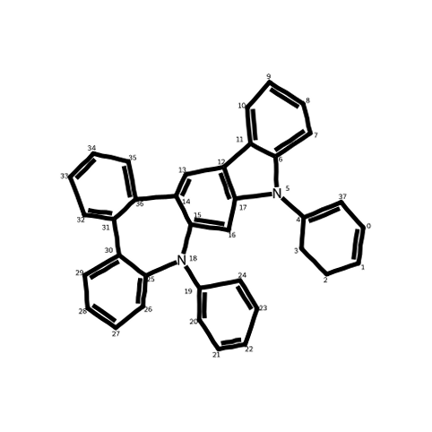 C1=CCCC(n2c3ccccc3c3cc4c(cc32)N(c2ccccc2)c2ccccc2-c2ccccc2-4)=C1